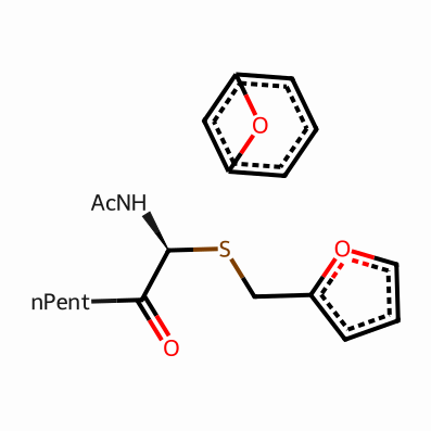 CCCCCC(=O)[C@@H](NC(C)=O)SCc1ccco1.c1cc2cc(c1)O2